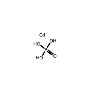 O=P(O)(O)O.[Cd]